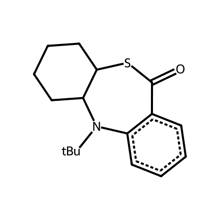 CC(C)(C)N1c2ccccc2C(=O)SC2CCCCC21